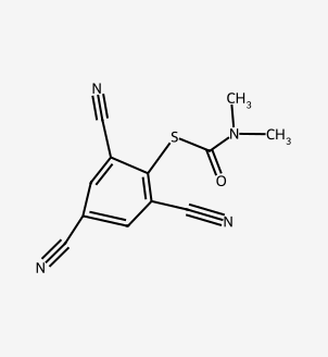 CN(C)C(=O)Sc1c(C#N)cc(C#N)cc1C#N